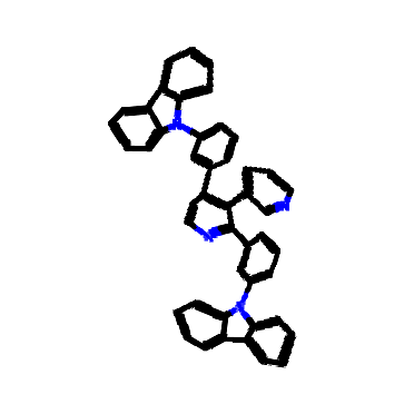 c1cncc(-c2c(-c3cccc(-n4c5ccccc5c5ccccc54)c3)ccnc2-c2cccc(-n3c4ccccc4c4ccccc43)c2)c1